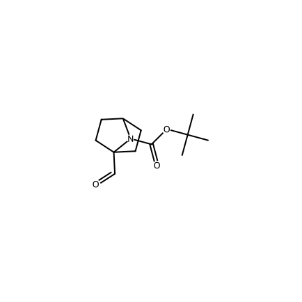 CC(C)(C)OC(=O)N1C2CCC1(C=O)CC2